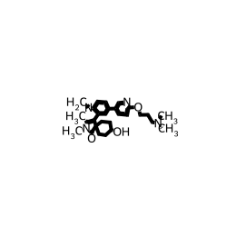 C=Nc1ccc(-c2ccc(OCCCN(C)C)nc2)cc1C1=C(C)N(C)C(=O)C12CCC(O)CC2